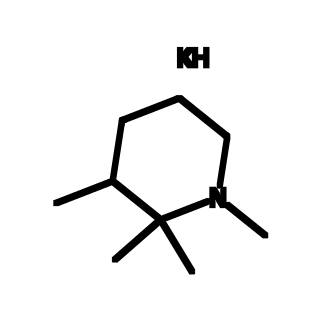 CC1CCCN(C)C1(C)C.[KH]